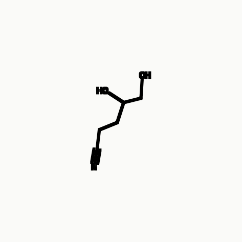 N#CCCC(O)CO